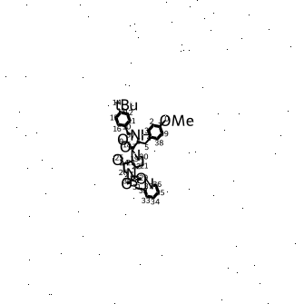 COc1ccc(CC(NC(=O)c2ccc(C(C)(C)C)cc2)C(=O)N2CCC3C2C(=O)CN3S(=O)(=O)Cc2ccccn2)cc1